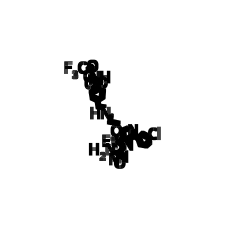 CCn1c(-c2nonc2N)nc2c(-c3cccc(Cl)c3)ncc(OCCCNCCc3ccc(S(=O)(=O)NOC(=O)C(F)(F)F)cc3)c21